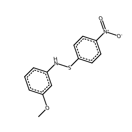 COc1cccc(NSc2ccc([N+](=O)[O-])cc2)c1